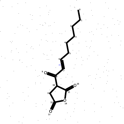 CCCCCC/C=C/C(=O)C1CC(=O)OC1=O